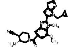 COc1cc(C(=O)N2CCC(C#N)[C@@H](N)C2)cc2nc(-c3cc4ccsc4n3CC3CC3)n(C)c12